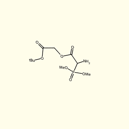 COP(=O)(OC)C(N)C(=O)OCC(=O)OC(C)(C)C